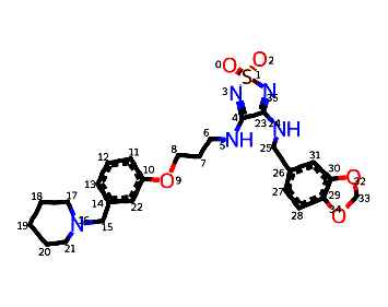 O=S1(=O)N=C(NCCCOc2cccc(CN3CCCCC3)c2)C(NCc2ccc3c(c2)OCO3)=N1